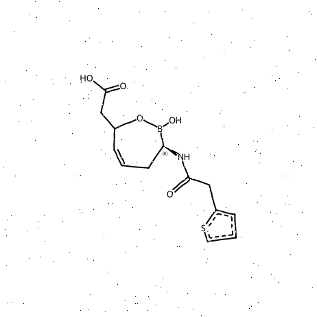 O=C(O)CC1C=CC[C@H](NC(=O)Cc2cccs2)B(O)O1